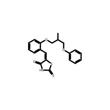 CC(COc1ccccc1)COc1ccccc1C=C1SC(=S)NC1=O